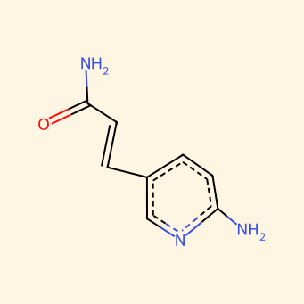 NC(=O)C=Cc1ccc(N)nc1